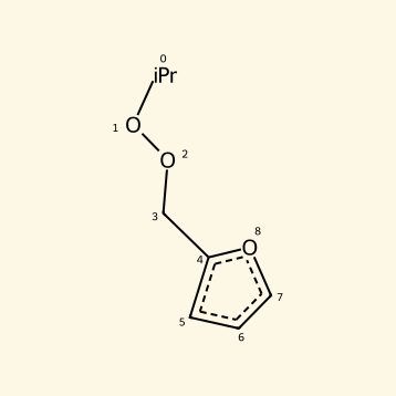 CC(C)OOCc1ccco1